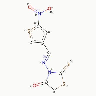 O=C1CSC(=S)N1/N=C/c1csc([N+](=O)[O-])c1